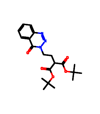 CC(C)(C)OC(=O)C(CCn1nnc2ccccc2c1=O)C(=O)OC(C)(C)C